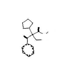 CCC(C(=O)OC)(C(=O)c1ccccc1)C1CCCC1